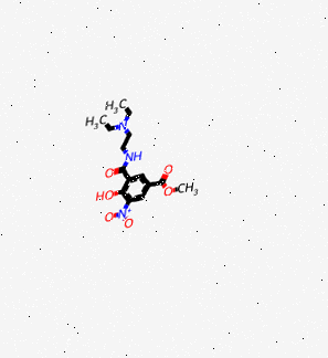 CCN(CC)CCNC(=O)c1cc(C(=O)OC)cc([N+](=O)[O-])c1O